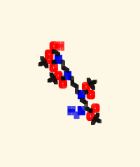 CC(C)(C)OC(=O)C(N)CCN(CCCCN(CCCN(CC(=O)O)C(=O)OC(C)(C)C)C(=O)OC(C)(C)C)C(=O)OC(C)(C)C